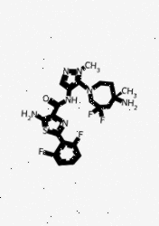 Cn1ncc(NC(=O)c2nc(-c3c(F)cccc3F)sc2N)c1N1CC[C@](C)(N)CC(F)(F)C1